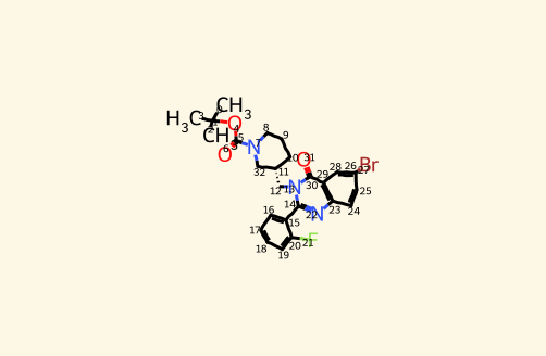 CC(C)(C)OC(=O)N1CCC[C@H](Cn2c(-c3ccccc3F)nc3ccc(Br)cc3c2=O)C1